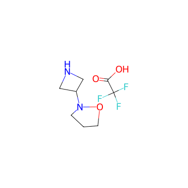 C1CON(C2CNC2)C1.O=C(O)C(F)(F)F